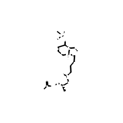 C=C(COC(C)=O)CC(O)CC[C@@H](C)[C@H]1CCC2C(O[Si](C)(C)C)CCC[C@]21C